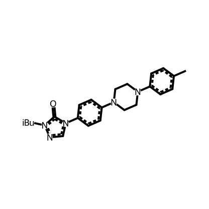 CCC(C)n1ncn(-c2ccc(N3CCN(c4ccc(C)cc4)CC3)cc2)c1=O